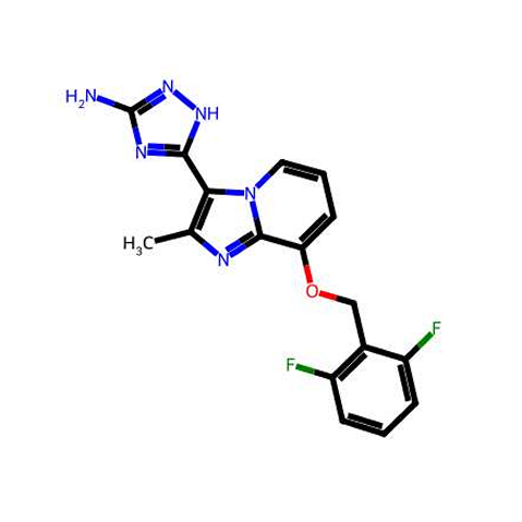 Cc1nc2c(OCc3c(F)cccc3F)cccn2c1-c1nc(N)n[nH]1